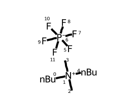 CCCC[N+](C)(C)CCCC.F[P-](F)(F)(F)(F)F